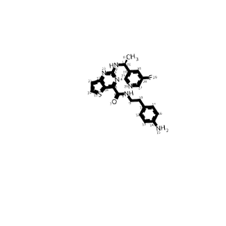 C[C@H](Nc1nc(C(=O)NCCc2ccc(N)cc2)c2sccc2n1)c1cncc(F)c1